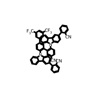 N#Cc1ccc(-n2c3ccccc3c3cc(-c4ccccc4C#N)ccc32)c(-c2cc(-c3cc(C(F)(F)F)cc(C(F)(F)F)c3)ccc2-n2c3ccccc3c3cc(-c4ccccc4C#N)ccc32)c1